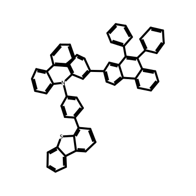 c1ccc(-c2ccccc2N(c2ccc(-c3cccc4c3sc3ccccc34)cc2)c2cccc(-c3ccc4c(c3)c(-c3ccccc3)c(-c3ccccc3)c3ccccc34)c2)cc1